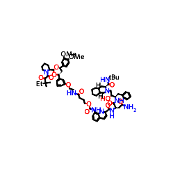 CCC(C)(C)C(=O)C(=O)N1CCCCC1C(=O)O[C@H](CCc1ccc(OC)c(OC)c1)c1cccc(OCCNC(=O)CCCOC(=O)Nc2cccc3ccc(C(=O)N[C@H](CC(N)=O)C(=O)N[C@H](Cc4ccccc4)[C@H](O)CN4C[C@H]5CCCC[C@H]5C[C@H]4C(=O)NC(C)(C)C)nc23)c1